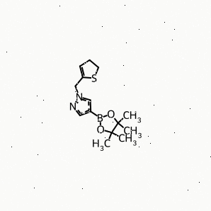 CC1(C)OB(c2cnn(CC3=CCCS3)c2)OC1(C)C